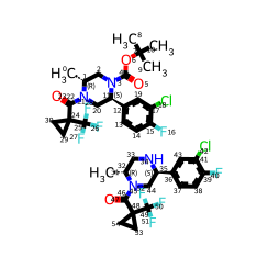 C[C@@H]1CN(C(=O)OC(C)(C)C)[C@@H](c2ccc(F)c(Cl)c2)CN1C(=O)C1(C(F)(F)F)CC1.C[C@@H]1CN[C@@H](c2ccc(F)c(Cl)c2)CN1C(=O)C1(C(F)(F)F)CC1